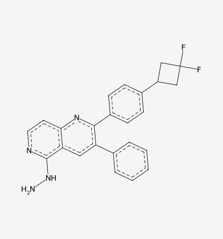 NNc1nccc2nc(-c3ccc(C4CC(F)(F)C4)cc3)c(-c3ccccc3)cc12